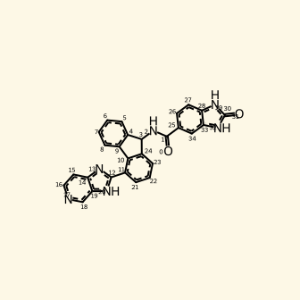 O=C(NC1c2ccccc2-c2c(-c3nc4ccncc4[nH]3)cccc21)c1ccc2[nH]c(=O)[nH]c2c1